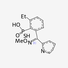 CCc1cccc(/C(=N\OC)c2ccccn2)c1P(=O)(O)S